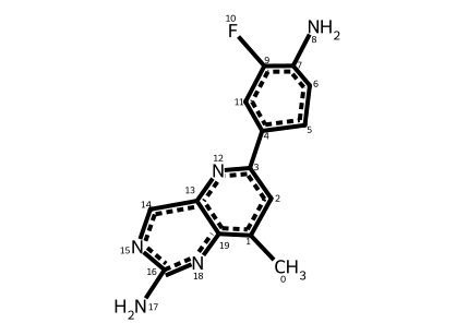 Cc1cc(-c2ccc(N)c(F)c2)nc2cnc(N)nc12